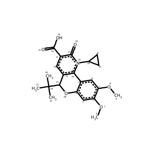 COc1cc2c(cc1OC)-c1c(cc(C(=O)O)c(=O)n1C1CC1)C(C(C)(C)C)O2